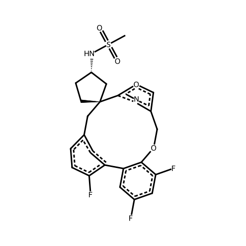 CS(=O)(=O)N[C@H]1CC[C@@]2(Cc3ccc(F)c(c3)-c3cc(F)cc(F)c3OCc3coc2n3)C1